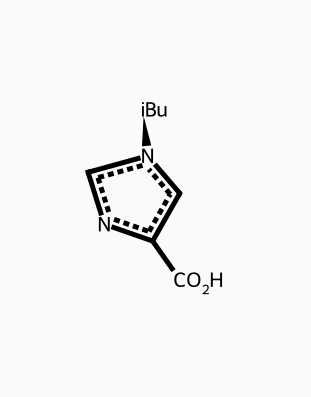 CC[C@H](C)n1cnc(C(=O)O)c1